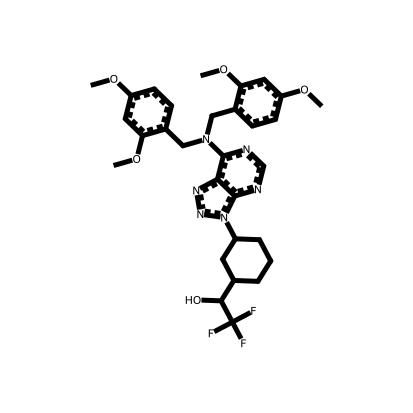 COc1ccc(CN(Cc2ccc(OC)cc2OC)c2ncnc3c2nnn3C2CCCC(C(O)C(F)(F)F)C2)c(OC)c1